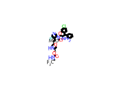 COC(=O)N(C(=O)[C@@H](N)C(c1ccccc1)c1ccc(Cl)cc1)c1cncc(F)c1CC[C@@H]1CN[C@H](COC(=O)NCC(F)(F)F)CO1